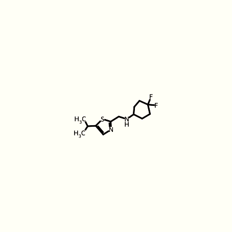 CC(C)c1cnc(CNC2CCC(F)(F)CC2)s1